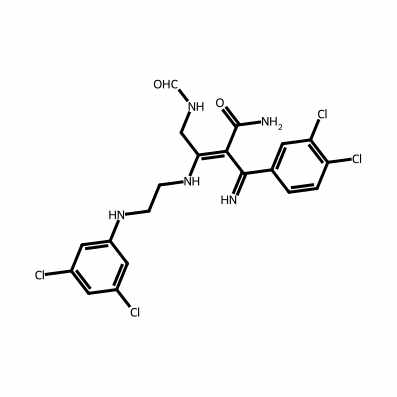 N=C(/C(C(N)=O)=C(/CNC=O)NCCNc1cc(Cl)cc(Cl)c1)c1ccc(Cl)c(Cl)c1